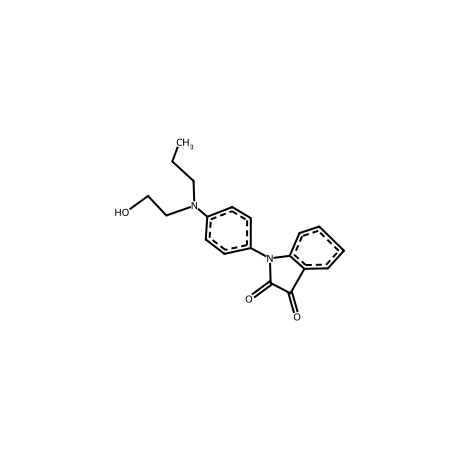 CCCN(CCO)c1ccc(N2C(=O)C(=O)c3ccccc32)cc1